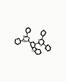 c1ccc(C2=NC(c3ccccc3)NC(c3cc(-c4nc(-c5ccccc5)cc(-c5ccccc5)n4)c4c(c3)oc3ccccc34)=N2)cc1